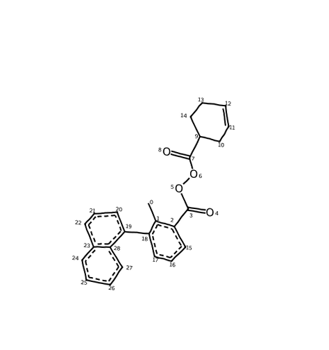 Cc1c(C(=O)OOC(=O)C2CC=CCC2)cccc1-c1cccc2ccccc12